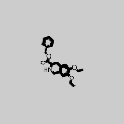 CCOc1cc2c(cc1OCC)CC(C(=O)OCc1ccccc1)NC2